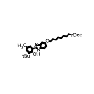 CCCCCCCCCCCCCCCCCCOc1ccc2nn(-c3cc(C)cc(C(C)(C)C)c3O)nc2c1